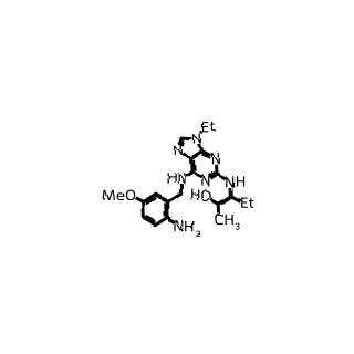 CCC(Nc1nc(NCc2cc(OC)ccc2N)c2ncn(CC)c2n1)C(C)O